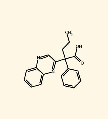 CCCC(C(=O)O)(c1ccccc1)c1cnc2ccccc2n1